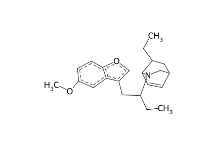 CCC1CC2C=CC1N(C(CC)Cc1coc3ccc(OC)cc13)C2